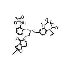 CCN1C(=O)C(C)(C)C(=O)N(C)c2cc(CCN(CCn3ccc4oc(C)cc4c3=O)Cc3ccccc3NS(C)(=O)=O)ccc21